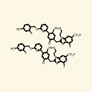 COCCn1c(Cc2cc(C)c(-c3cccc(OCc4ccc(C#N)cc4F)n3)cc2Cl)nc2c(F)cc(C(=O)O)cc21.COCCn1c(Cc2cc(C)c(-c3cccc(OCc4ccc(C#N)cc4F)n3)cc2Cl)nc2c(F)cc(C(=O)O)cc21